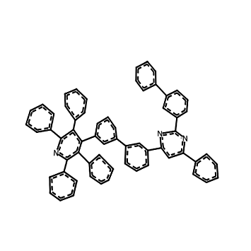 c1ccc(-c2cccc(-c3nc(-c4ccccc4)cc(-c4cccc(-c5cccc(-c6c(-c7ccccc7)c(-c7ccccc7)nc(-c7ccccc7)c6-c6ccccc6)c5)c4)n3)c2)cc1